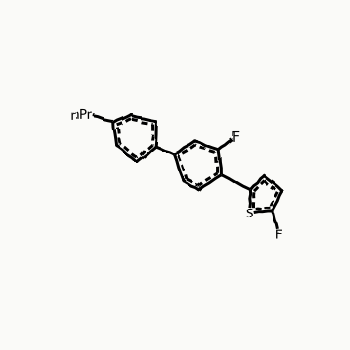 CCCc1ccc(-c2ccc(-c3ccc(F)s3)c(F)c2)cc1